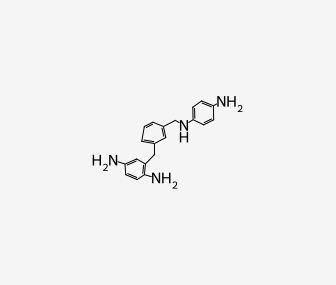 Nc1ccc(NCc2cccc(Cc3cc(N)ccc3N)c2)cc1